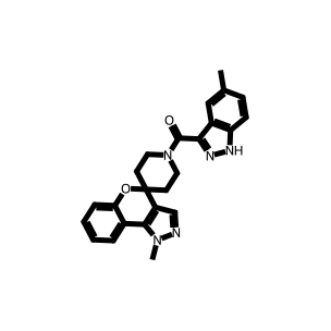 Cc1ccc2[nH]nc(C(=O)N3CCC4(CC3)Oc3ccccc3-c3c4cnn3C)c2c1